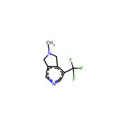 CN1Cc2cncc(C(F)(F)F)c2C1